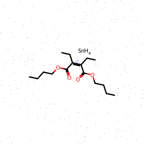 CCCCOC(=O)/C(CC)=C(/CC)C(=O)OCCCC.[SnH4]